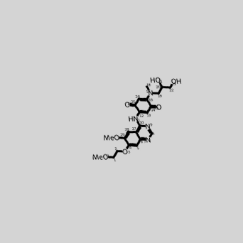 COCCOc1cc2ncnc(NC3=CC(=O)C(N(C)CC(O)CO)=CC3=O)c2cc1OC